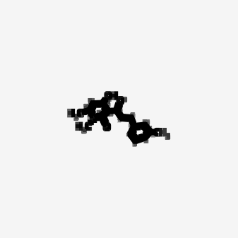 Cc1cccc(/C=C/C(=O)c2c(O)cc(C)n(C)c2=O)c1